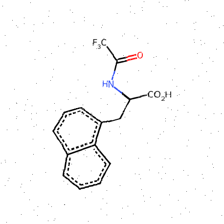 O=C(O)C(Cc1cccc2ccccc12)NC(=O)C(F)(F)F